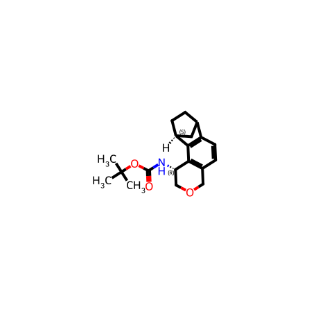 CC(C)(C)OC(=O)N[C@H]1COCc2ccc3c(c21)[C@H]1CCC3C1